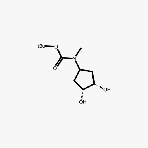 CN(C(=O)OC(C)(C)C)C1C[C@@H](O)[C@@H](O)C1